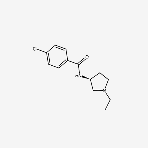 CCN1CC[C@H](NC(=O)c2ccc(Cl)cc2)C1